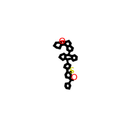 c1ccc(-c2coc3c2ccc2c4ccc(-c5c6ccccc6c(-c6ccc7ccc8oc9ccccc9c8c7c6)c6ccccc56)cc4sc23)cc1